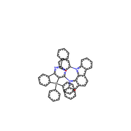 c1ccc(-c2nc3c(c(-n4c5ccccc5c5ccc6c7ccccc7n(-c7ccccc7)c6c54)n2)[Si](c2ccccc2)(c2ccccc2)c2ccccc2-3)cc1